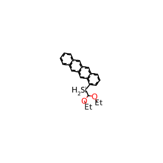 CCOC(OCC)[SiH2]c1cccc2cc3cc4ccccc4cc3cc12